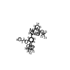 COCCOc1cc(-c2cnc([C@@H]3CCCN3C(=O)OC(C)(C)C)[nH]2)ccc1B1OC(C)(C)C(C)(C)O1